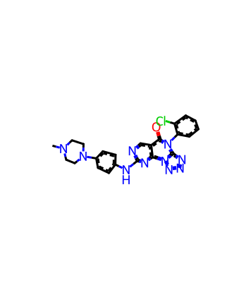 CN1CCN(c2ccc(Nc3ncc4c(=O)n(-c5ccccc5Cl)c5nnnn5c4n3)cc2)CC1